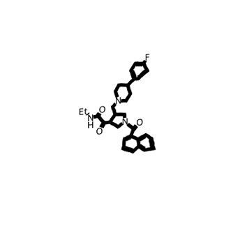 CCNC(=O)C(=O)C1CN(C(=O)c2cccc3ccccc23)CC1CN1CCC(c2ccc(F)cc2)CC1